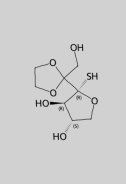 OCC1([C@@]2(S)OC[C@H](O)[C@H]2O)OCCO1